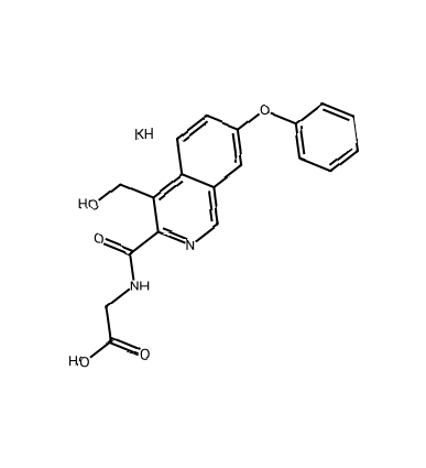 O=C(O)CNC(=O)c1ncc2cc(Oc3ccccc3)ccc2c1CO.[KH]